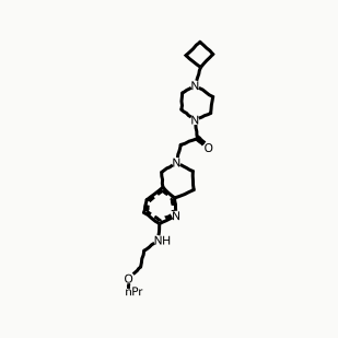 CCCOCCNc1ccc2c(n1)CCN(CC(=O)N1CCN(C3CCC3)CC1)C2